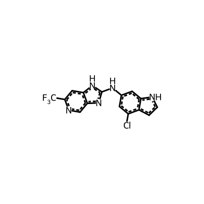 FC(F)(F)c1cc2[nH]c(Nc3cc(Cl)c4cc[nH]c4c3)nc2cn1